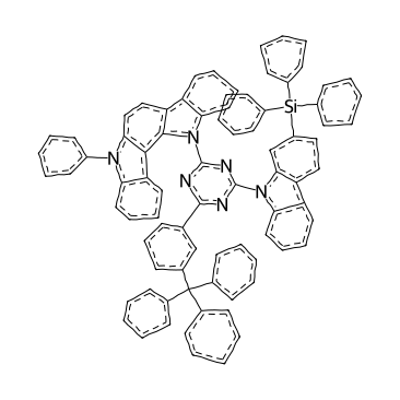 c1ccc(-n2c3ccccc3c3c2ccc2c4ccccc4n(-c4nc(-c5cccc(C(c6ccccc6)(c6ccccc6)c6ccccc6)c5)nc(-n5c6ccccc6c6ccc([Si](c7ccccc7)(c7ccccc7)c7ccccc7)cc65)n4)c23)cc1